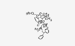 CCCOCCOC(=O)C1=C(C)NC(C)=C(C(=O)OC(C)CN(C)CCC(c2ccccc2)c2ccccc2)C1c1cccc(Cl)c1Cl